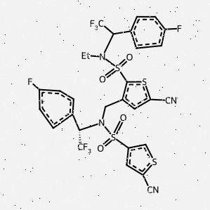 CCN(C(c1ccc(F)cc1)C(F)(F)F)S(=O)(=O)c1sc(C#N)cc1CN([C@@H](c1ccc(F)cc1)C(F)(F)F)S(=O)(=O)c1csc(C#N)c1